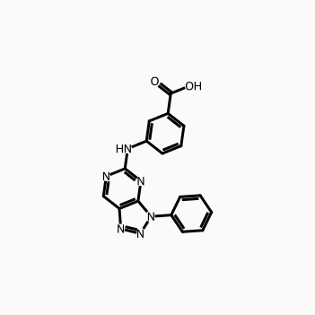 O=C(O)c1cccc(Nc2ncc3nnn(-c4ccccc4)c3n2)c1